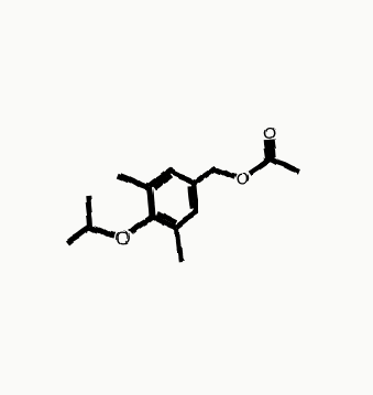 CC(=O)OCc1cc(C)c(OC(C)C)c(C)c1